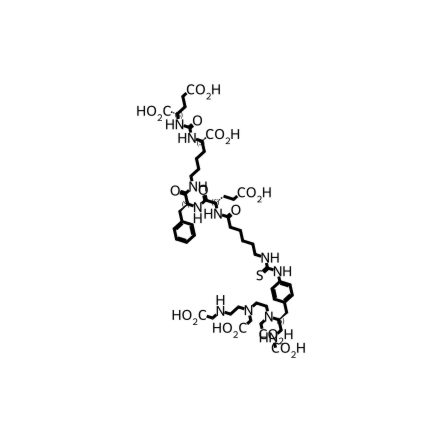 O=C(O)CC[C@H](NC(=O)N[C@@H](CCCCNC(=O)[C@H](Cc1ccccc1)NC(=O)[C@H](CCC(=O)O)NC(=O)CCCCCNC(=S)Nc1ccc(C[C@@H](CNC(=O)O)N(CCN(CCNCC(=O)O)CC(=O)O)CC(=O)O)cc1)C(=O)O)C(=O)O